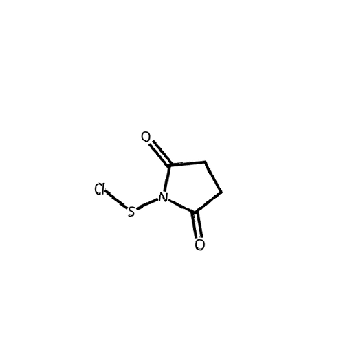 O=C1CCC(=O)N1SCl